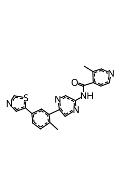 Cc1cnccc1C(=O)Nc1cnc(-c2cc(-c3cncs3)ccc2C)cn1